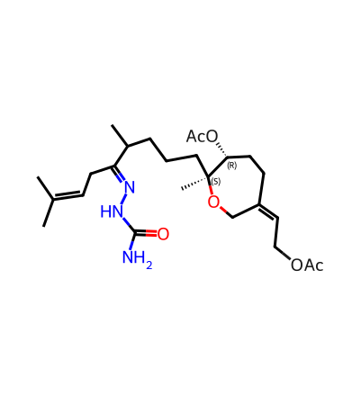 CC(=O)OCC=C1CC[C@@H](OC(C)=O)[C@](C)(CCCC(C)C(CC=C(C)C)=NNC(N)=O)OC1